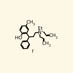 C=CC[N+](CC)(CC=C)CCC(c1ccccc1)c1cc(C)ccc1O.[I-]